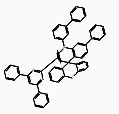 c1ccc(-c2cccc(N3c4cc(-c5ccccc5)ccc4C4(c5ccccc5Oc5ccccc54)c4cc(-c5nc(-c6ccccc6)cc(-c6ccccc6)n5)ccc43)c2)cc1